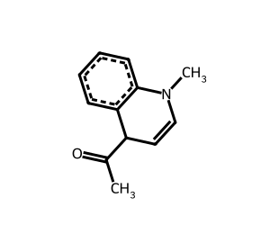 CC(=O)C1C=CN(C)c2ccccc21